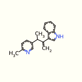 C=C(c1c[nH]c2ccccc12)C(C)c1ccc(C)nc1